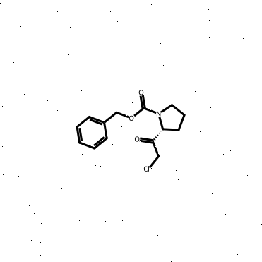 O=C(CCl)[C@H]1CCCN1C(=O)OCc1ccccc1